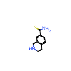 NC(=S)c1ccc2c(c1)CNCC2